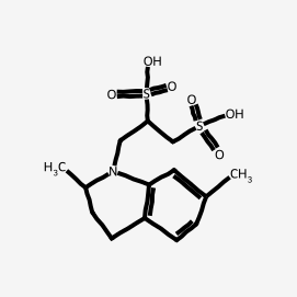 Cc1ccc2c(c1)N(CC(CS(=O)(=O)O)S(=O)(=O)O)C(C)CC2